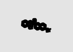 O=S(=O)(Cc1ccccc1Cl)c1ccc2cc(Br)ccc2c1